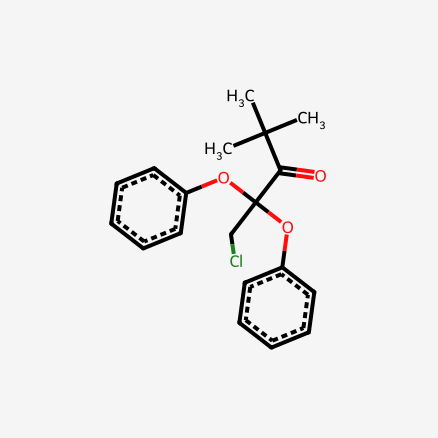 CC(C)(C)C(=O)C(CCl)(Oc1ccccc1)Oc1ccccc1